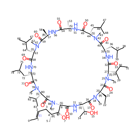 C/C=C/C[C@@H](C)[C@@H](O)[C@H]1C(=O)N[C@@H](C(C)O)C(=O)N(C)[C@H](CC)C(=O)N(C)[C@@H](C(C)CC)C(=O)N[C@@H](CC(C)C)C(=O)N(C)[C@@H](CC(C)C)C(=O)N[C@@H](C)C(=O)N[C@H](C)C(=O)N(C)[C@@H](CC(C)C)C(=O)N[C@@H](CC(C)C)C(=O)N(C)[C@@H](C(C)C)C(=O)N1C